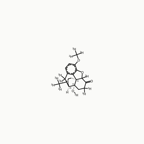 [2H]O[C@@]12CC([2H])([2H])C(=O)C3([2H])Oc4c(OC([2H])([2H])[2H])ccc5c4[C@@]31CCN(C([2H])([2H])[2H])[C@@H]2C5([2H])[2H]